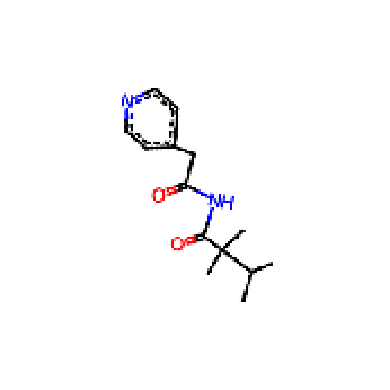 CC(C)C(C)(C)C(=O)NC(=O)Cc1ccncc1